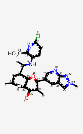 Cc1cc(C(C)Nc2ccc(Cl)nc2C(=O)O)c2oc(-c3cnc4nn(C)cc4c3)c(C)c(=O)c2c1